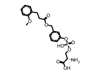 COc1ccccc1CCC(=O)OCc1cccc(OP(=O)(O)OC[C@H](N)C(=O)O)c1